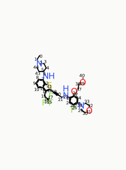 CCN1CCC(Nc2cccc3c(CC(F)(F)F)c(C#CCNc4cc(F)c(N5CCOCC5)cc4OCCOC)sc23)CC1